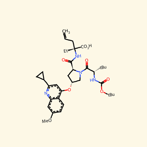 C=CC[C@@](CC)(NC(=O)[C@@H]1C[C@@H](Oc2cc(C3CC3)nc3cc(OC)ccc23)CN1C(=O)[C@@H](NC(=O)OC(C)(C)C)C(C)(C)C)C(=O)O